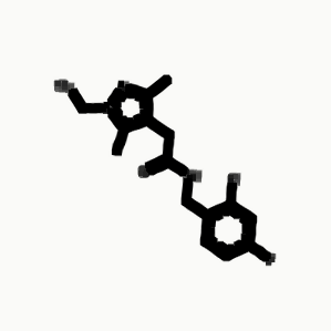 Cc1nn(CC(C)(C)C)c(C)c1CC(=O)NCc1ccc(F)cc1Cl